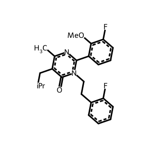 COc1c(F)cccc1-c1nc(C)c(CC(C)C)c(=O)n1CCc1ccccc1F